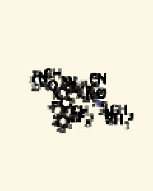 Cc1cc2c(nc(OC[C@@H]3CCCN3C)c3nnn([C@H]4CCN(C(=O)/C=C/CN(C)C)[C@H](CC#N)C4)c32)c(F)c1-c1ccccc1C(F)(F)F